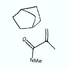 C1CC2CCC1C2.C=C(C)C(=O)NC